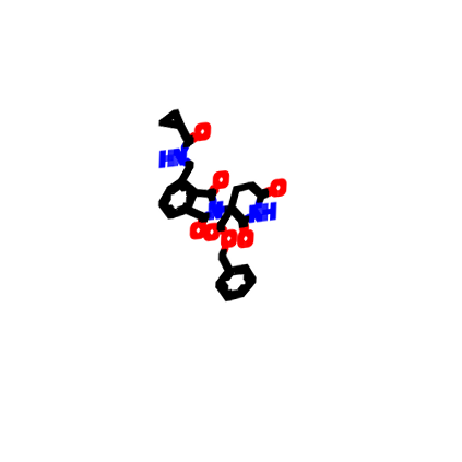 O=C1CC[C@](C(=O)OCc2ccccc2)(N2C(=O)c3cccc(CNC(=O)C4CC4)c3C2=O)C(=O)N1